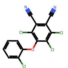 N#Cc1c(Cl)c(Cl)c(Oc2ccccc2Cl)c(Cl)c1C#N